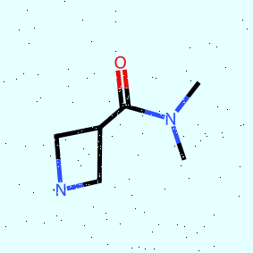 CN(C)C(=O)C1C[N]C1